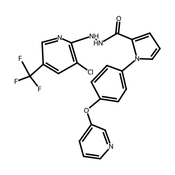 O=C(NNc1ncc(C(F)(F)F)cc1Cl)c1cccn1-c1ccc(Oc2cccnc2)cc1